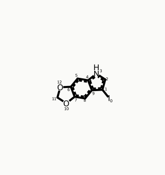 Ic1c[nH]c2cc3c(cc12)OCO3